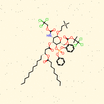 CCCCCCCCCCC[C@H](CC(=O)O[C@@H]1[C@H](NC(=O)OCC(Cl)(Cl)Cl)[C@@H](OCC[Si](C)(C)C)O[C@H](COC(=O)OC(C)(C)C(Cl)(Cl)Cl)[C@H]1OP(=O)(Oc1ccccc1)Oc1ccccc1)OC(=O)CCCCCCCC